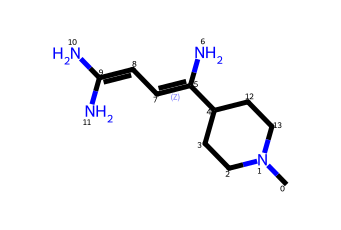 CN1CCC(/C(N)=C/C=C(N)N)CC1